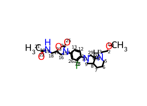 COCCN1CCCC2CN(c3ccc(N4CC(CNC(C)=O)OC4=O)cc3F)C[C@H]21